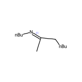 CCCCC/C(C)=N/CCCC